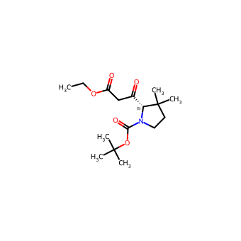 CCOC(=O)CC(=O)[C@H]1N(C(=O)OC(C)(C)C)CCC1(C)C